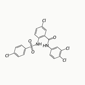 O=C(Nc1ccc(Cl)c(Cl)c1)c1cc(Cl)ccc1NS(=O)(=O)c1ccc(Cl)cc1